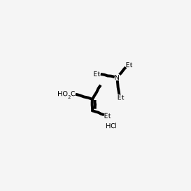 CCC=C(C)C(=O)O.CCN(CC)CC.Cl